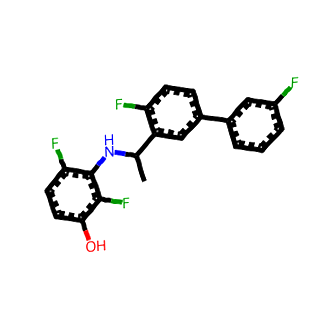 CC(Nc1c(F)ccc(O)c1F)c1cc(-c2cccc(F)c2)ccc1F